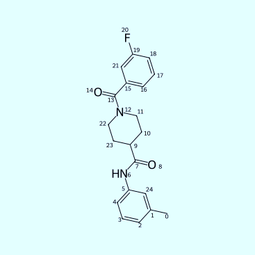 Cc1cccc(NC(=O)C2CCN(C(=O)c3cccc(F)c3)CC2)c1